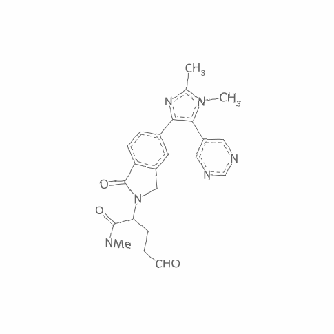 CNC(=O)C(CCC=O)N1Cc2cc(-c3nc(C)n(C)c3-c3cncnc3)ccc2C1=O